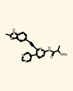 CNC(C)C(=O)Nc1ccc(-c2cncnc2)c(C#Cc2ccc3[nH]c(C)nc3c2)n1